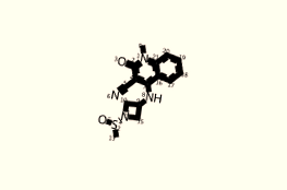 Cn1c(=O)c(C#N)c(NC2CN([S+](C)[O-])C2)c2ccccc21